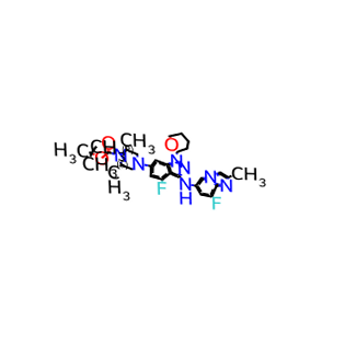 Cc1cn2cc(Nc3nn(C4CCCCO4)c4cc(N5C[C@@H](C)N(C(=O)OC(C)(C)C)[C@@H](C)C5)cc(F)c34)cc(F)c2n1